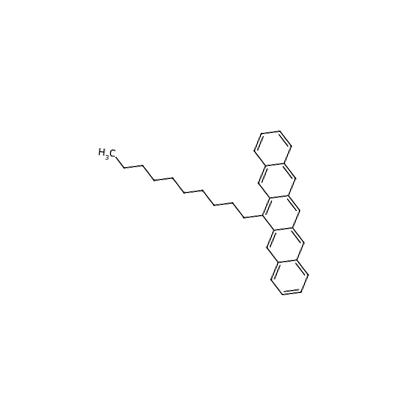 CCCCCCCCCCc1c2cc3ccccc3cc2cc2cc3ccccc3cc12